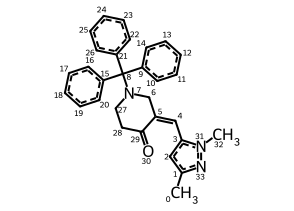 Cc1cc(/C=C2/CN(C(c3ccccc3)(c3ccccc3)c3ccccc3)CCC2=O)n(C)n1